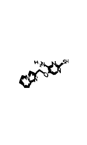 Nc1nc(S)ncc1OCc1cn2ccccc2n1